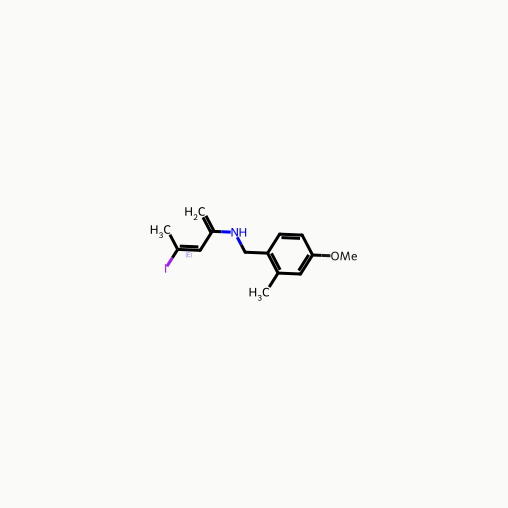 C=C(/C=C(\C)I)NCc1ccc(OC)cc1C